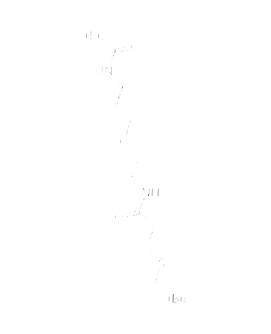 CC(C)(C)CSCCC(=O)NCCOCCCNC(=O)C(C)(C)C